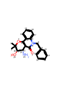 CC1(C)Oc2c(c(=O)n(Cc3ccccc3)c3ccccc23)[C@H](N)[C@H]1O